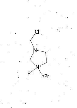 CCC[N+]1(F)CCN(CCl)C1